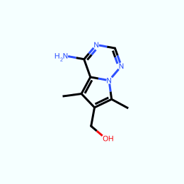 Cc1c(CO)c(C)n2ncnc(N)c12